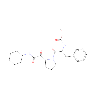 CC(C)(C)OC(=O)N[C@@H](Cc1ccccc1)C(=O)N1CCCC1C(=O)C(=O)NC1CCCCC1